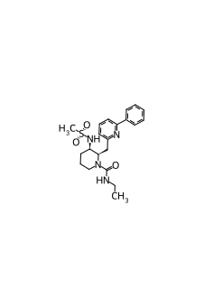 CCNC(=O)N1CCC[C@@H](NS(C)(=O)=O)[C@H]1Cc1cccc(-c2ccccc2)n1